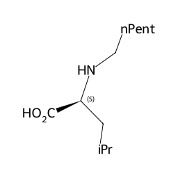 CCCCCCN[C@@H](CC(C)C)C(=O)O